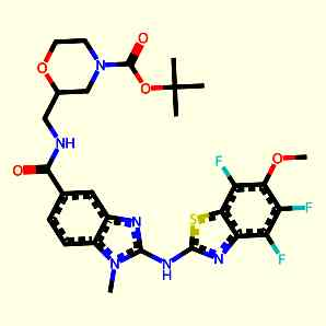 COc1c(F)c(F)c2nc(Nc3nc4cc(C(=O)NCC5CN(C(=O)OC(C)(C)C)CCO5)ccc4n3C)sc2c1F